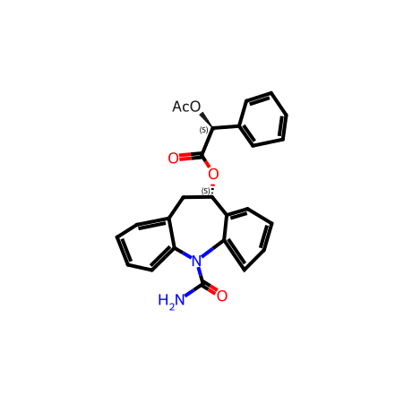 CC(=O)O[C@H](C(=O)O[C@H]1Cc2ccccc2N(C(N)=O)c2ccccc21)c1ccccc1